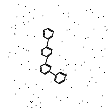 c1ccc(-c2ccc(-c3cccc(-c4cccnc4)c3)cc2)cc1